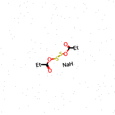 CCC(=O)OSSOC(=O)CC.[NaH]